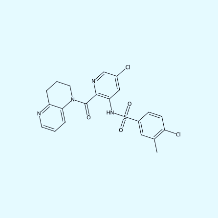 Cc1cc(S(=O)(=O)Nc2cc(Cl)cnc2C(=O)N2CCCc3ncccc32)ccc1Cl